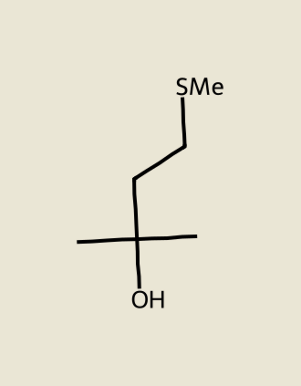 CSCCC(C)(C)O